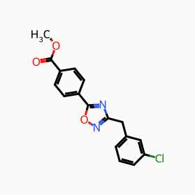 COC(=O)c1ccc(-c2nc(Cc3cccc(Cl)c3)no2)cc1